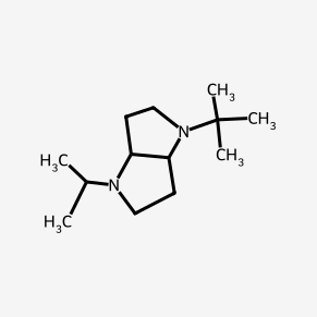 CC(C)N1CCC2C1CCN2C(C)(C)C